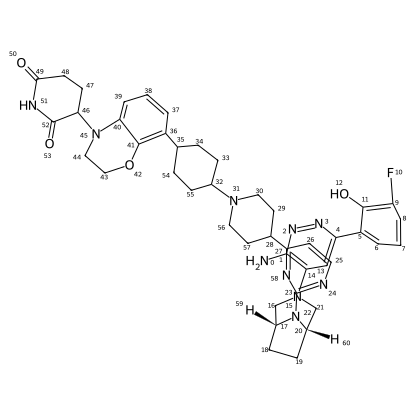 Nc1nnc(-c2cccc(F)c2O)cc1N1C[C@H]2CC[C@@H](C1)N2c1nccc(C2CCN(C3CCC(c4cccc5c4OCCN5C4CCC(=O)NC4=O)CC3)CC2)n1